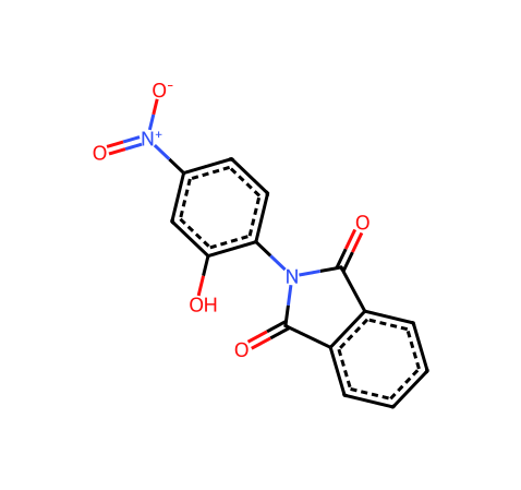 O=C1c2ccccc2C(=O)N1c1ccc([N+](=O)[O-])cc1O